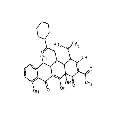 CC1c2cccc(O)c2C(=O)C2=C(O)C3(O)C(=O)C(C(N)=O)=C(O)C(N(C)C)C3C(CC(=O)C3CCCCC3)C21